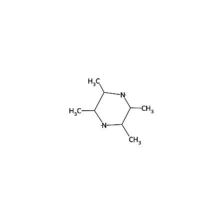 CC1[N]C(C)C(C)[N]C1C